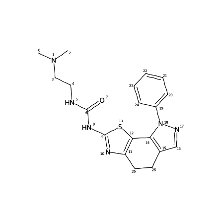 CN(C)CCNC(=O)Nc1nc2c(s1)-c1c(cnn1-c1ccccc1)CC2